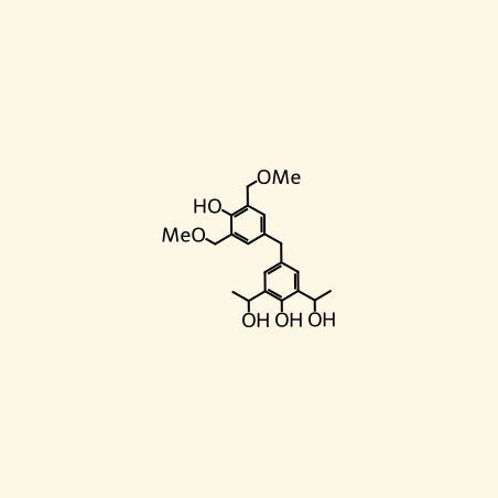 COCc1cc(Cc2cc(C(C)O)c(O)c(C(C)O)c2)cc(COC)c1O